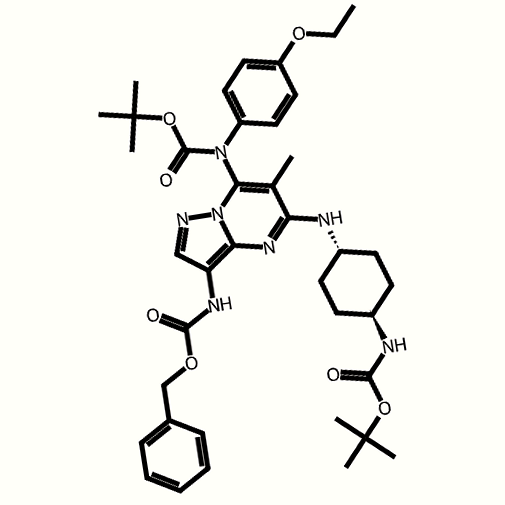 CCOc1ccc(N(C(=O)OC(C)(C)C)c2c(C)c(N[C@H]3CC[C@H](NC(=O)OC(C)(C)C)CC3)nc3c(NC(=O)OCc4ccccc4)cnn23)cc1